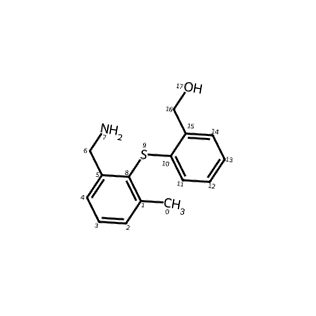 Cc1cccc(CN)c1Sc1ccccc1CO